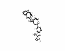 Cc1cc2ncc(-c3nccc(Nc4ccc5[nH]ncc5c4)n3)cc2[nH]1